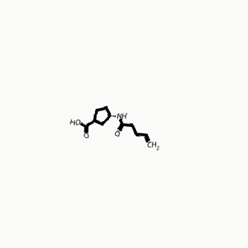 C=CCCC(=O)N[C@H]1CCC(C(=O)O)C1